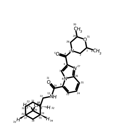 CC1CN(C(=O)c2cn3c(C(=O)NC[C@@H]4CC[C@H]5C[C@@H]4C5(C)C)cccc3n2)CC(C)O1